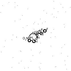 CN1CCCNc2c(cccc2[N+](=O)[O-])-c2cccc(n2)N[C@H]2C[C@@H](C1=O)N(c1ncnc3c1cnn3-c1ccc(F)cc1F)C2